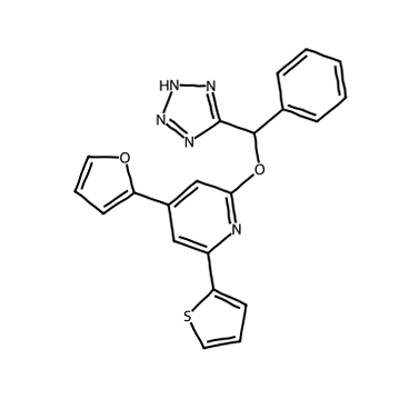 c1ccc(C(Oc2cc(-c3ccco3)cc(-c3cccs3)n2)c2nn[nH]n2)cc1